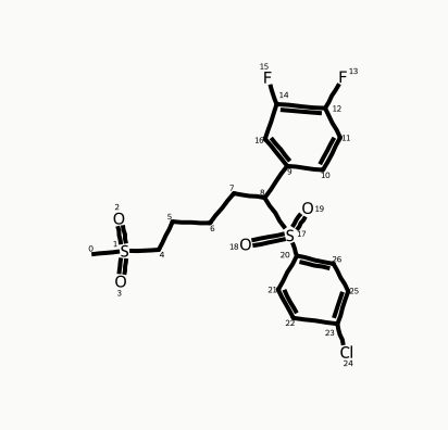 CS(=O)(=O)CCCCC(c1ccc(F)c(F)c1)S(=O)(=O)c1ccc(Cl)cc1